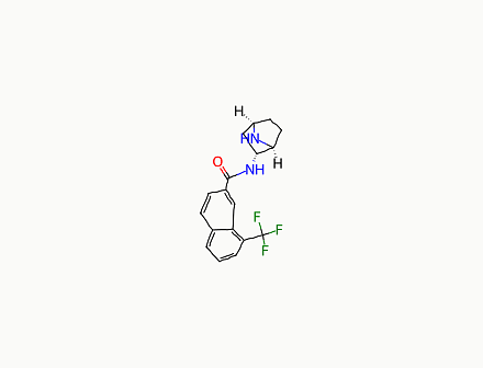 O=C(N[C@@H]1C[C@H]2CC[C@@H]1N2)c1ccc2cccc(C(F)(F)F)c2c1